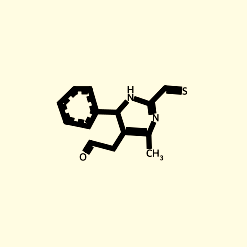 CC1=C(CC=O)C(c2ccccc2)NC(C=S)=N1